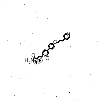 CS(=O)(=O)C(CCn1ccc(-c2ccc(OCCCc3ccncc3)cc2)cc1=O)C(N)=O